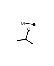 BrBr.CC(C)O